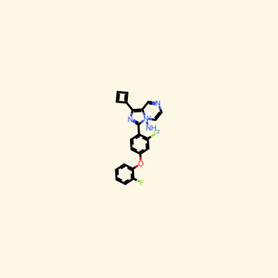 N[N+]12C=CN=CC1=C(C1=CC=C1)N=C2c1ccc(Oc2ccccc2F)cc1F